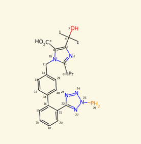 CCCc1nc(C(C)(C)O)c(C(=O)O)n1Cc1ccc(-c2ccccc2-c2nnn(P)n2)cc1